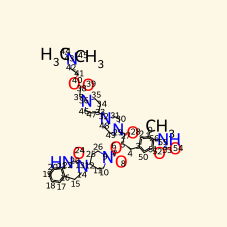 Cc1cc(C[C@@H](OC(=O)N2CCC(N3CCc4ccccc4NC3=O)CC2)C(=O)N2CCN(C3CCN(CC(=O)OCCN(C)C)CC3)CC2)cc2oc(=O)[nH]c12